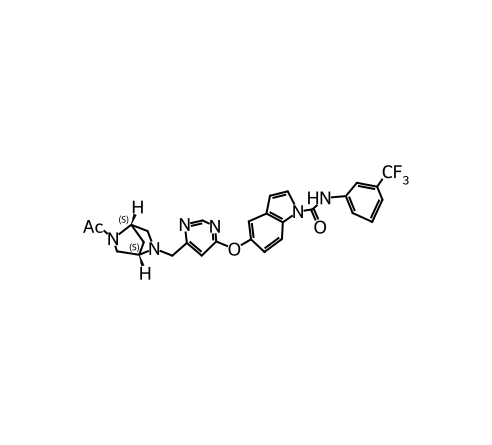 CC(=O)N1C[C@@H]2C[C@H]1CN2Cc1cc(Oc2ccc3c(ccn3C(=O)Nc3cccc(C(F)(F)F)c3)c2)ncn1